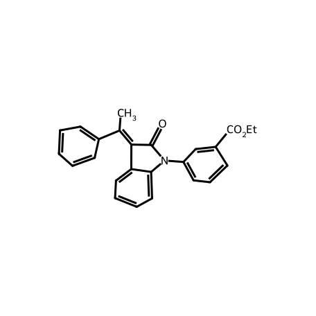 CCOC(=O)c1cccc(N2C(=O)/C(=C(\C)c3ccccc3)c3ccccc32)c1